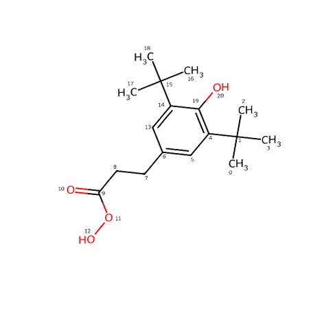 CC(C)(C)c1cc(CCC(=O)OO)cc(C(C)(C)C)c1O